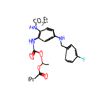 CCOC(=O)Nc1ccc(NCc2ccc(F)cc2)cc1NC(=O)OC(C)OC(=O)C(C)C